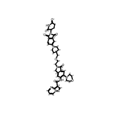 O=C1CCC(N2C(=O)c3ccc(N4CCC(COCCN5Cc6cc(NC(=O)c7cnn8cccnc78)c(N7CCOCC7)cc6C5=O)CC4)cc3C2=O)C(=O)N1